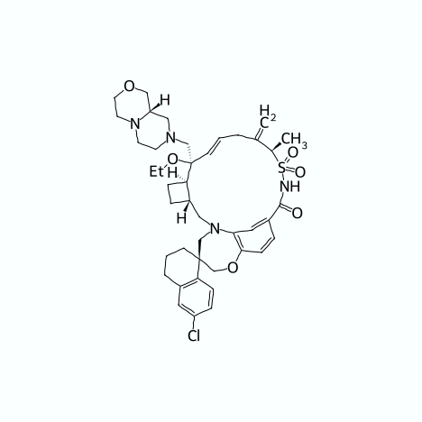 C=C1C/C=C/[C@](CN2CCN3CCOC[C@@H]3C2)(OCC)[C@@H]2CC[C@H]2CN2C[C@@]3(CCCc4cc(Cl)ccc43)COc3ccc(cc32)C(=O)NS(=O)(=O)[C@@H]1C